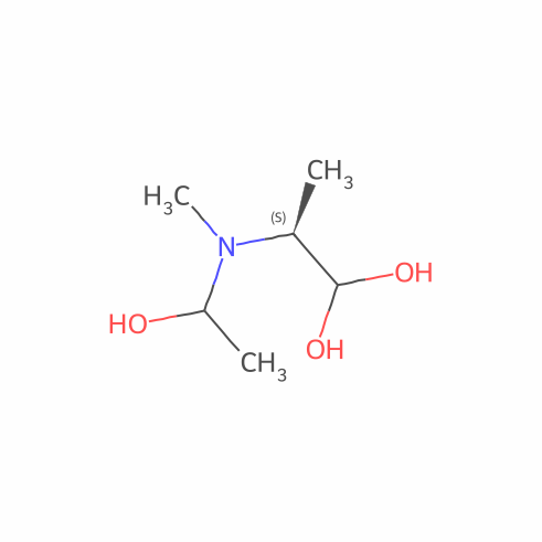 CC(O)N(C)[C@@H](C)C(O)O